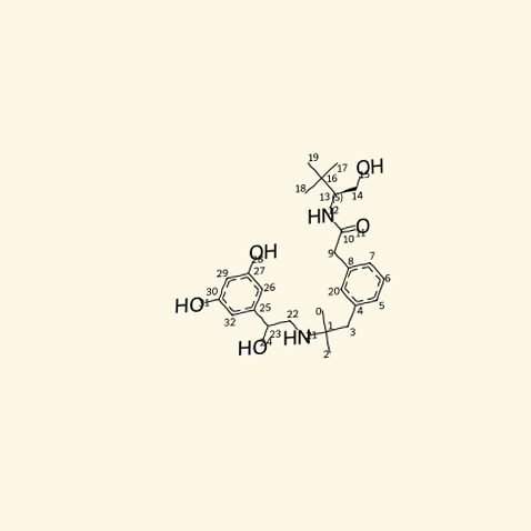 CC(C)(Cc1cccc(CC(=O)N[C@H](CO)C(C)(C)C)c1)NCC(O)c1cc(O)cc(O)c1